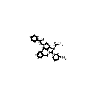 NC1CCCN(C2N(Cc3ccccc3)c3c(ncn(CC(=O)c4ccccc4)c3=O)N2OC(=O)C(F)(F)F)C1